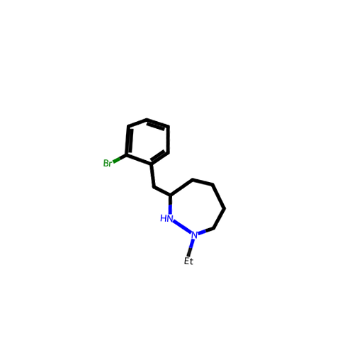 CCN1CCCCC(Cc2ccccc2Br)N1